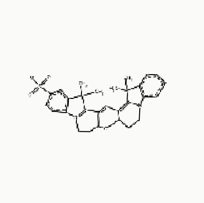 CC1(C)C2=C3C=C4C5=[N+](CCC4OC3CCN2c2ccccc21)c1ccc(S(=O)(=O)[O-])cc1C5(C)C